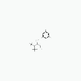 O=S(=O)(NC(CO)C(C(F)(F)F)C(F)(F)F)c1cc(Cl)cc(Cl)c1